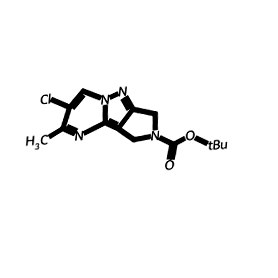 Cc1nc2c3c(nn2cc1Cl)CN(C(=O)OC(C)(C)C)C3